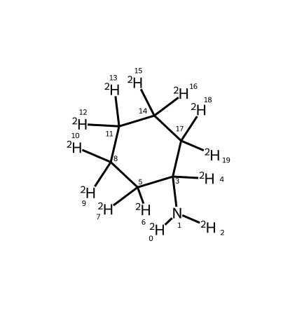 [2H]N([2H])C1([2H])C([2H])([2H])C([2H])([2H])C([2H])([2H])C([2H])([2H])C1([2H])[2H]